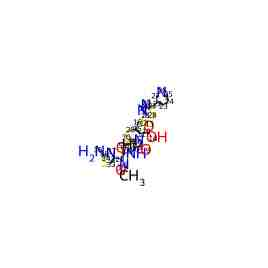 CON=C(C(=O)N[C@@H]1C(=O)N2C(C(=O)O)=C(CSc3nnc(-c4cccnc4)s3)CS[C@@H]12)c1csc(N)n1